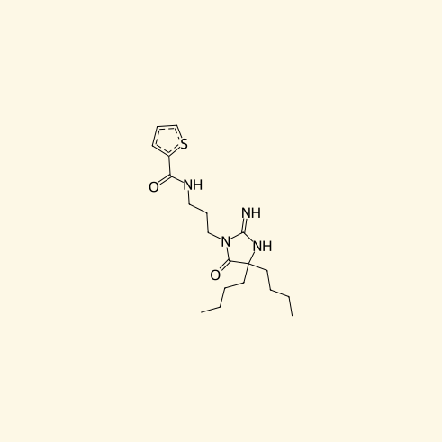 CCCCC1(CCCC)NC(=N)N(CCCNC(=O)c2cccs2)C1=O